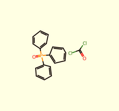 O=C(Cl)Cl.O=P(c1ccccc1)(c1ccccc1)c1ccccc1